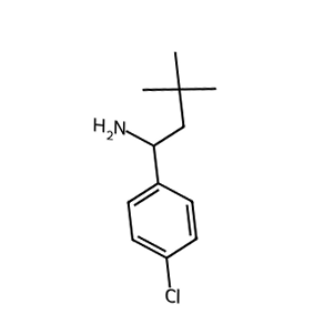 CC(C)(C)CC(N)c1ccc(Cl)cc1